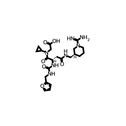 N=C(N)N1CCC[C@@H](CNC(=O)C[C@H](NC(=O)NCc2ccco2)C(=O)N(CC(=O)O)C2CC2)C1